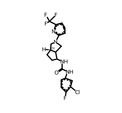 O=C(Nc1ccc(F)c(Cl)c1)NC1CC[C@@H]2CN(c3cccc(C(F)(F)F)n3)CC12